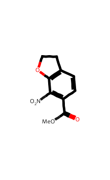 COC(=O)c1ccc2c(c1[N+](=O)[O-])OCC2